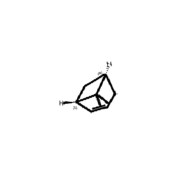 CC1(C)[C@@H]2[C]=C[CH][C@@H]1C2